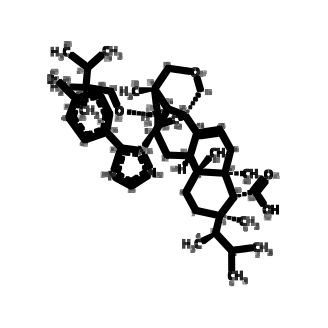 CC(C)[C@@H](C)[C@@]1(C)CC[C@]2(C)[C@H]3CC[C@@H]4[C@@]5(COC[C@@]4(C)[C@@H](OC[C@](C)(N)C(C)C)[C@H](n4ncnc4-c4ccc(Br)cc4)C5)C3=CC[C@@]2(C)[C@@H]1C(=O)O